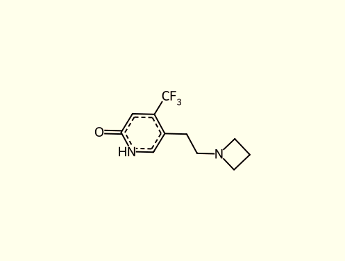 O=c1cc(C(F)(F)F)c(CCN2CCC2)c[nH]1